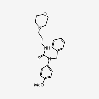 COc1ccc(N(Cc2ccccc2)C(=S)NCCCN2CCOCC2)cc1